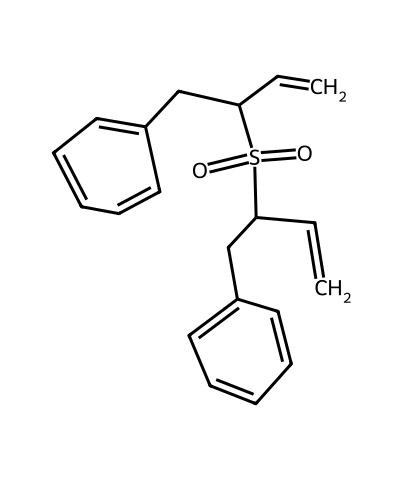 C=CC(Cc1ccccc1)S(=O)(=O)C(C=C)Cc1ccccc1